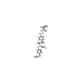 CCCCOc1ccc(CC(N)C(=O)Nc2ccc(CCCC(=O)NO)cc2)nc1